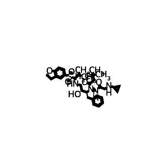 CC(C)C(NC[C@@H](O)[C@H](Cc1ccccc1)N(NC(=O)CNC1CC1)C(=O)CC(C)(C)C)S(=O)(=O)c1ccc2c(c1)CCO2